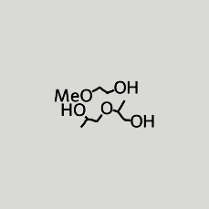 CC(O)COC(C)CO.COCCO